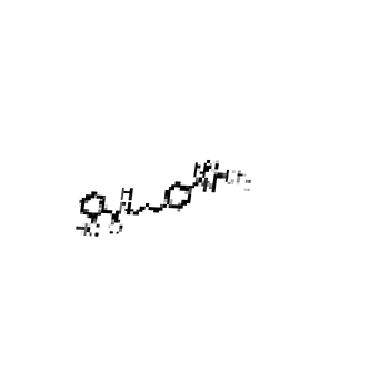 O=C(NCCCc1ccc(-c2noc(C(F)(F)F)n2)cc1)c1ccccc1O